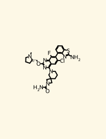 CN1CCC[C@H]1COc1nc(N2CCCC3(CN(C(N)=O)C3)C2)c2cc(Cl)c(-c3cccc4sc(N)nc34)c(F)c2n1